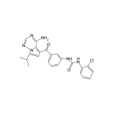 CC(C)c1cc(C(=O)c2cccc(NC(=O)Nc3ccccc3Cl)c2)c2c(N)ncnn12